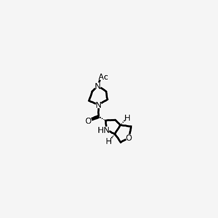 CC(=O)N1CCN(C(=O)[C@@H]2C[C@H]3COC[C@H]3N2)CC1